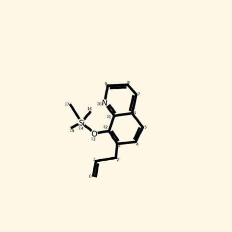 C=CCc1ccc2cccnc2c1O[Si](C)(C)C